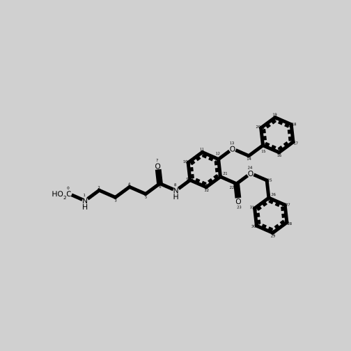 O=C(O)NCCCCC(=O)Nc1ccc(OCc2ccccc2)c(C(=O)OCc2ccccc2)c1